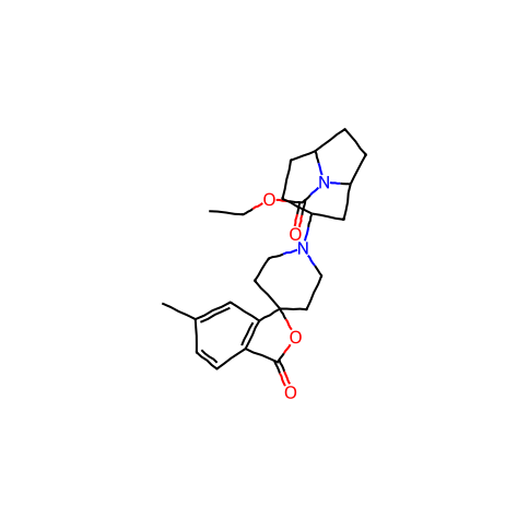 CCOC(=O)N1C2CCC(N3CCC4(CC3)OC(=O)c3ccc(C)cc34)CC1CC2